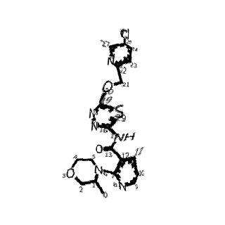 CC1COCCN1c1ncccc1C(=O)Nc1nnc(OCc2ccc(Cl)cn2)s1